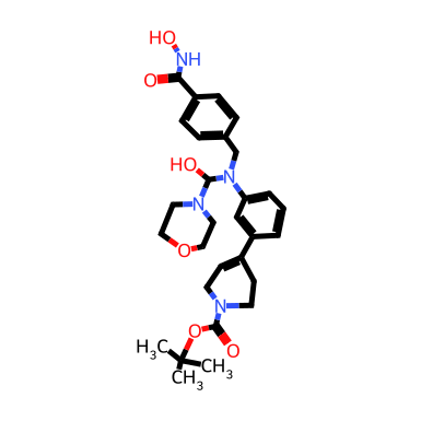 CC(C)(C)OC(=O)N1CC=C(c2cccc(N(Cc3ccc(C(=O)NO)cc3)C(O)N3CCOCC3)c2)CC1